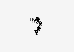 COc1cccc(-c2nc(COC3CCCC(C(O)c4cccc(C)c4C(=O)O)C3)c(C)o2)c1